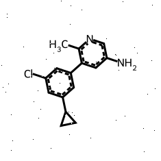 Cc1ncc(N)cc1-c1cc(Cl)cc(C2CC2)c1